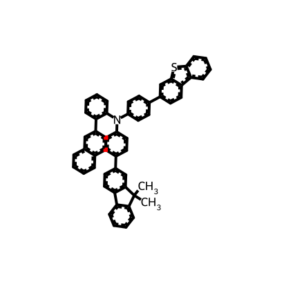 CC1(C)c2ccccc2-c2ccc(-c3ccc(N(c4ccc(-c5ccc6c(c5)sc5ccccc56)cc4)c4ccccc4-c4ccc5ccccc5c4)cc3)cc21